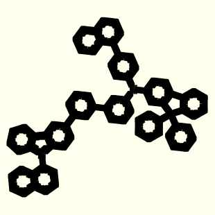 c1ccc(C2(c3ccccc3)c3ccccc3-c3ccc(N(c4ccc(-c5cccc6ccccc56)cc4)c4cccc(-c5cccc(-c6ccc7c(c6)c6ccccc6n7-c6cccc7ccccc67)c5)c4)cc32)cc1